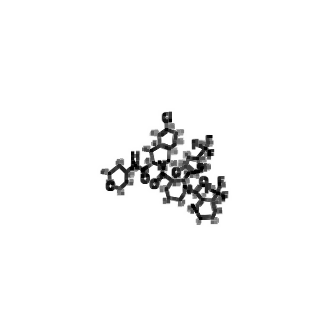 CCC[C@H]1N(C(=O)c2ncccc2C(F)(F)F)CCC[C@@]1(Oc1csc(C(F)(F)F)c1)C(=O)N1Cc2ccc(Cl)cc2C[C@@H]1C(=O)NC1CCOCC1